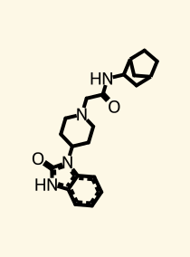 O=C(CN1CCC(n2c(=O)[nH]c3ccccc32)CC1)NC1CC2CCC1C2